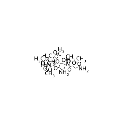 CC(=O)OC1C(NC(=O)[C@H](CCN)OC(C)=O)CC(N)C(OC(OC([C@H](C)OC(C)=O)[C@@H](C)OC(C)=O)[C@@H](N)OC(C)=O)C1O